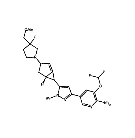 COCC1(F)CCN(C2C=C3C(c4cc(-c5cnc(N)c(OC(F)F)c5)nn4C(C)C)[C@@H]3C2)C1